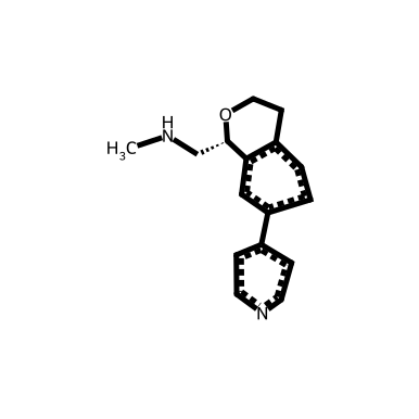 CNC[C@@H]1OCCc2ccc(-c3ccncc3)cc21